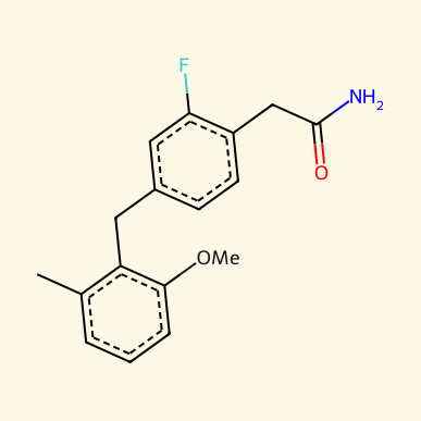 COc1cccc(C)c1Cc1ccc(CC(N)=O)c(F)c1